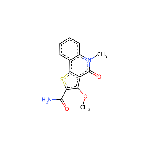 COc1c(C(N)=O)sc2c1c(=O)n(C)c1ccccc21